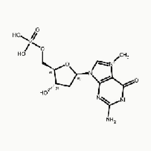 C[n+]1cn([C@H]2C[C@H](O)[C@@H](COP(=O)(O)O)O2)c2nc(N)[nH]c(=O)c21